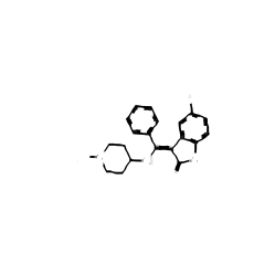 CC(=O)c1ccc2c(c1)/C(=C(/NC1CCN(C)CC1)c1ccccc1)C(=O)N2